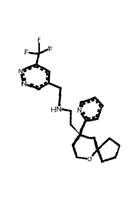 FC(F)(F)c1cc(CNCC[C@]2(c3ccccn3)CCOC3(CCCC3)C2)cnn1